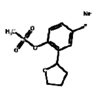 CS(=O)(=O)Oc1ccc(F)cc1C1CCCO1.[Na]